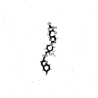 CC1(CNCc2ccc3cc(F)ccc3n2)CCN(c2nccc(C=C3SC(=O)NC3=O)n2)CC1